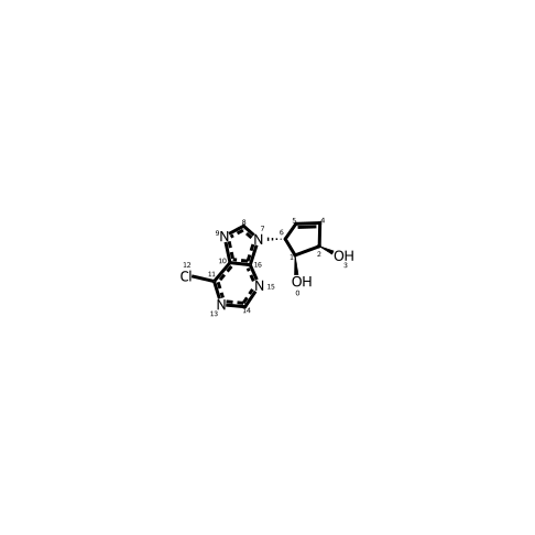 O[C@@H]1[C@H](O)C=C[C@H]1n1cnc2c(Cl)ncnc21